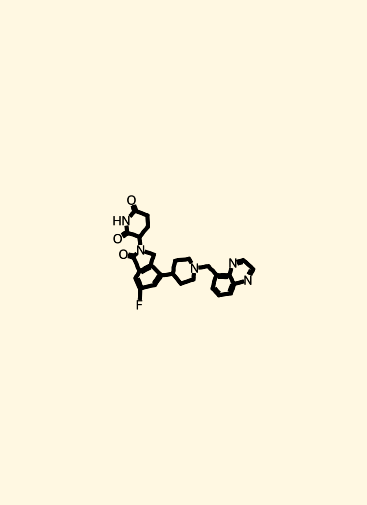 O=C1CCC(N2Cc3c(cc(F)cc3C3CCN(Cc4cccc5nccnc45)CC3)C2=O)C(=O)N1